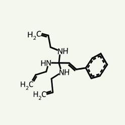 C=CCNC(C=Cc1ccccc1)(NCC=C)NCC=C